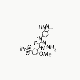 COC1=CC=C(S(=O)(=O)C(C)C)CC1c1nc(N)nc(N(C)c2ccc3c(C)n[nH]c3c2)c1F